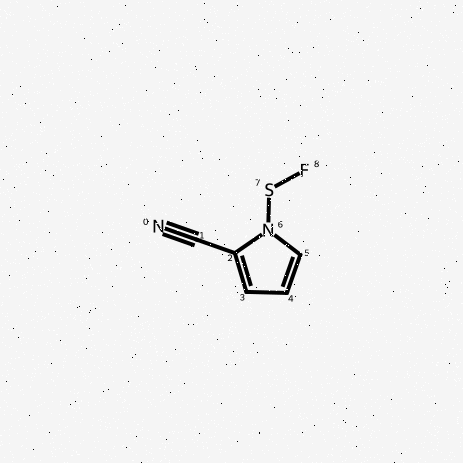 N#Cc1cccn1SF